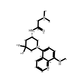 CNc1ccc(N2C[C@@H](NC(=O)CN(C)C)CC(F)(F)C2)c2cccnc12